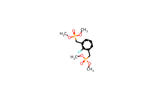 COP(=O)(Cc1cccc(CP(=O)(OC)OC)c1F)OC